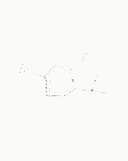 CC(C)(C)c1ccc(Br)cc1F